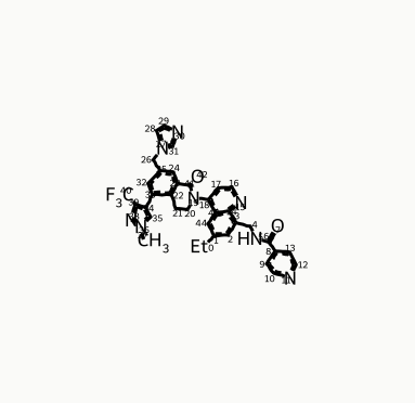 CCc1cc(CNC(=O)c2ccncc2)c2nccc(N3CCc4c(cc(Cn5ccnc5)cc4-c4cn(C)nc4C(F)(F)F)C3=O)c2c1